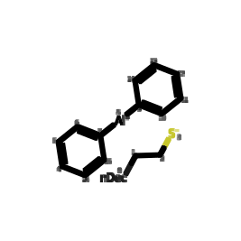 CCCCCCCCCCCC[S-].c1cc[c]([Al+][c]2ccccc2)cc1